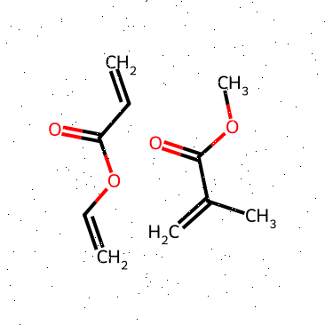 C=C(C)C(=O)OC.C=COC(=O)C=C